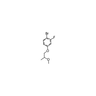 COC(C)COc1ccc(Br)c(F)c1